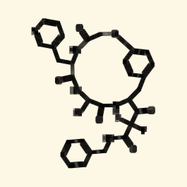 CC(C)C1NC(=O)C(Cc2cccnc2)NC(=O)COc2ccc(cc2)CC(C(=O)C(F)(F)C(=O)NCc2ccccc2)NC1=O